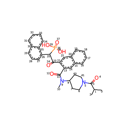 CC(C)C(=O)N1CCC(N(C)C(=O)c2cc3ccccc3cc2C(=O)C(c2cccc3ccccc23)P(=O)(O)O)CC1